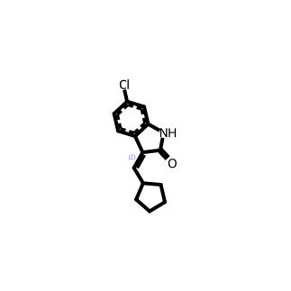 O=C1Nc2cc(Cl)ccc2/C1=C/C1CCCC1